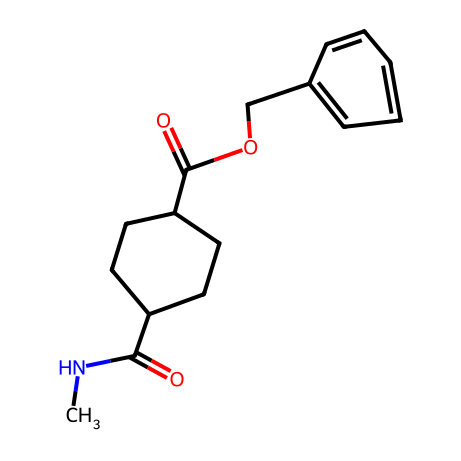 CNC(=O)C1CCC(C(=O)OCc2ccccc2)CC1